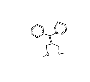 COCC(COC)=C(c1ccccc1)c1ccccc1